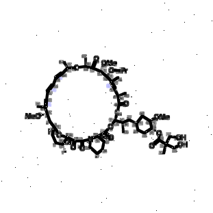 CO[C@H]1C[C@@H]2CC[C@@H](C)[C@@](O)(O2)C(=O)C(=O)N2CCCC[C@H]2C(=O)O[C@H]([C@H](C)C[C@@H]2CC[C@@H](OC(=O)C(C)(CO)CO)[C@H](OC)C2)CC(=O)[C@H](C)/C=C(\C)[C@@H](OC(C)C)[C@@H](OC)C(=O)[C@H](C)C[C@H](C)/C=C/C=C/C=C/1C